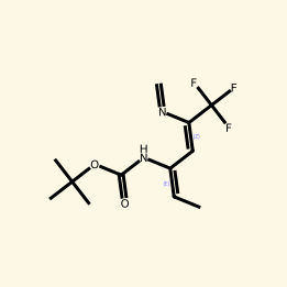 C=N/C(=C\C(=C/C)NC(=O)OC(C)(C)C)C(F)(F)F